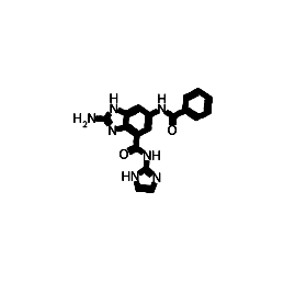 Nc1nc2c(C(=O)Nc3ncc[nH]3)cc(NC(=O)c3ccccc3)cc2[nH]1